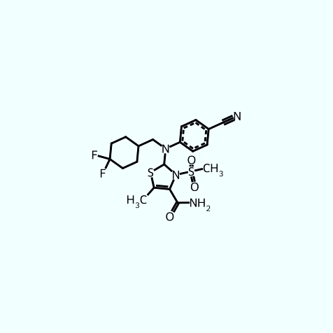 CC1=C(C(N)=O)N(S(C)(=O)=O)C(N(CC2CCC(F)(F)CC2)c2ccc(C#N)cc2)S1